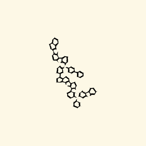 c1ccc(-c2ccc(N(c3cccc(-c4cccc5c4ccc4c6ccc7oc8c(N(c9ccccc9)c9ccc%10c(c9)oc9ccccc9%10)cccc8c7c6oc54)c3)c3cccc4c3oc3ccc5c6ccc7ccccc7c6oc5c34)cc2)cc1